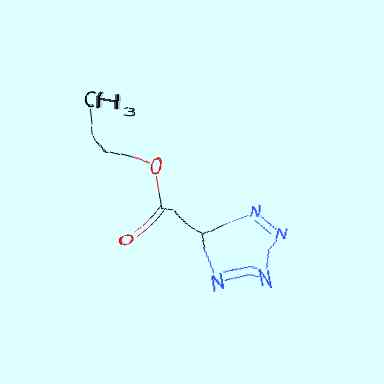 CCOC(=O)C1N=NN=N1